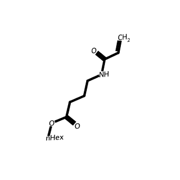 C=CC(=O)NCCCC(=O)OCCCCCC